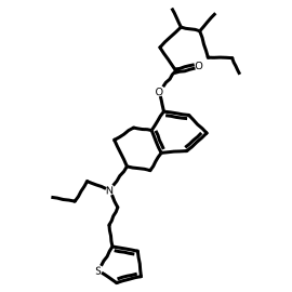 CCCC(C)C(C)CC(=O)Oc1cccc2c1CCC(N(CCC)CCc1cccs1)C2